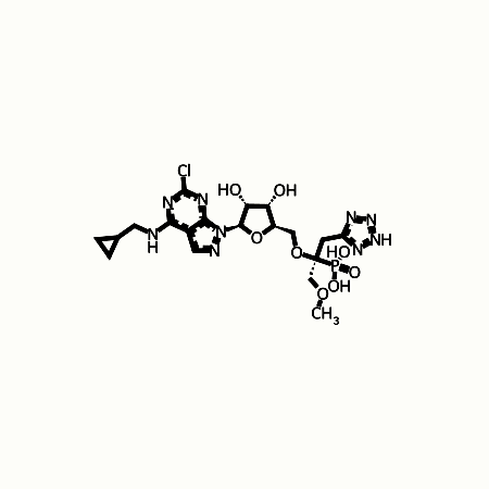 COC[C@@](Cc1nn[nH]n1)(OC[C@H]1O[C@@H](n2ncc3c(NCC4CC4)nc(Cl)nc32)[C@H](O)[C@@H]1O)P(=O)(O)O